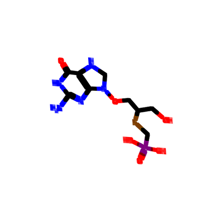 Nc1nc2c(c(=O)[nH]1)NCN2OCC(CO)SCP(=O)(O)O